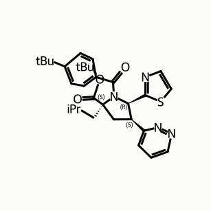 CC(C)C[C@@]1(C(=O)OC(C)(C)C)C[C@H](c2cccnn2)[C@H](c2nccs2)N1C(=O)c1ccc(C(C)(C)C)cc1